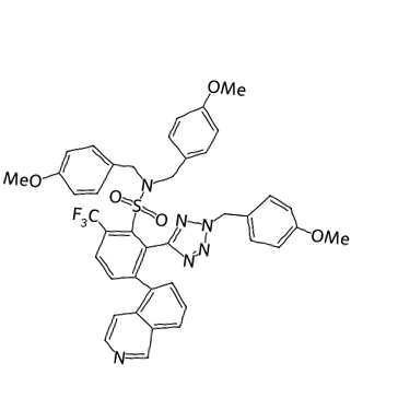 COc1ccc(CN(Cc2ccc(OC)cc2)S(=O)(=O)c2c(C(F)(F)F)ccc(-c3cccc4cnccc34)c2-c2nnn(Cc3ccc(OC)cc3)n2)cc1